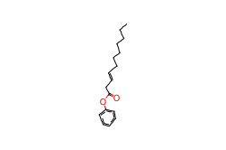 CCCCCCCC=CCC(=O)Oc1ccccc1